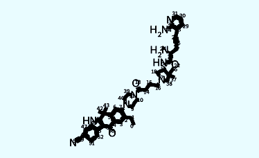 CCc1cc2c(cc1N1CCN(C(=O)CCCN3C[C@H](NC(=O)[C@@H](N)CC#Cc4cccnc4N)C(C)(C)C3)CC1)C(C)(C)c1[nH]c3cc(C#N)ccc3c1C2=O